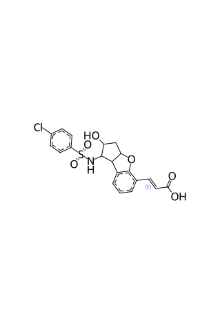 O=C(O)/C=C/c1cccc2c1OC1CC(O)C(NS(=O)(=O)c3ccc(Cl)cc3)C21